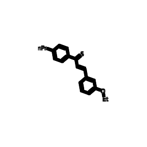 CCCc1ccc(C(=S)C=Cc2cccc(OCC)c2)cc1